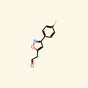 O=CCc1cc(-c2ccc(F)cc2)no1